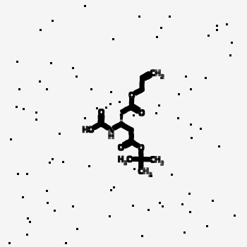 C=CCOC(=O)C[C@H](CC(=O)OC(C)(C)C)NC(=O)O